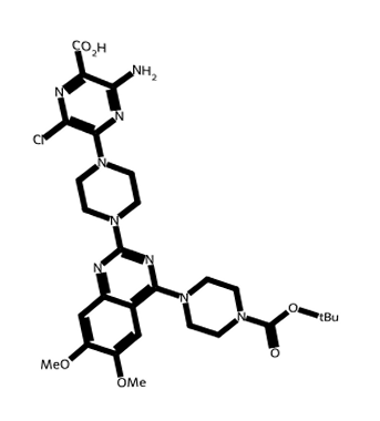 COc1cc2nc(N3CCN(c4nc(N)c(C(=O)O)nc4Cl)CC3)nc(N3CCN(C(=O)OC(C)(C)C)CC3)c2cc1OC